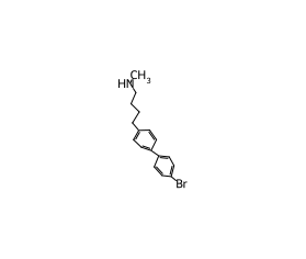 CNCCCCc1ccc(-c2ccc(Br)cc2)cc1